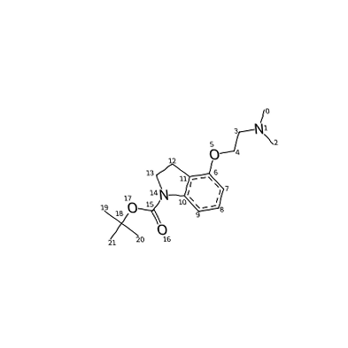 CN(C)CCOc1cccc2c1CCN2C(=O)OC(C)(C)C